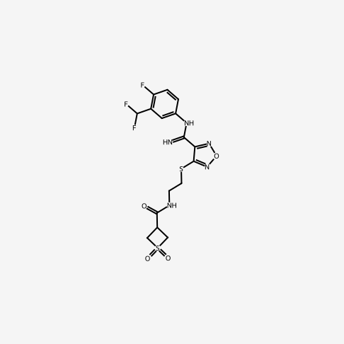 N=C(Nc1ccc(F)c(C(F)F)c1)c1nonc1SCCNC(=O)C1CS(=O)(=O)C1